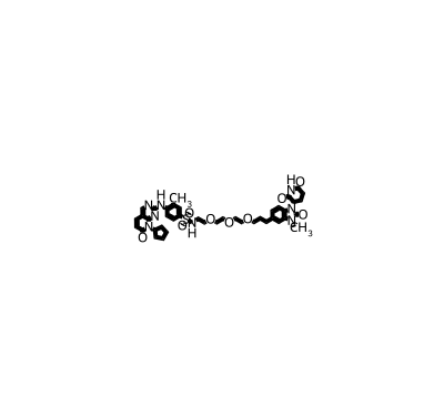 Cc1cc(S(=O)(=O)NCCOCCOCCOCCCc2ccc3c(c2)n(C)c(=O)n3C2CCC(=O)NC2=O)ccc1Nc1ncc2ccc(=O)n(C3CCCC3)c2n1